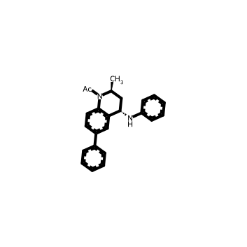 CC(=O)N1c2ccc(-c3ccccc3)cc2[C@@H](Nc2ccccc2)C[C@@H]1C